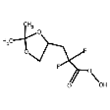 CC1(C)OCC(CC(F)(F)C(=O)OO)O1